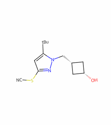 CC(C)(C)c1cc(SC#N)nn1C[C@H]1C[C@@H](O)C1